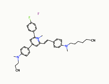 CN(CCC#N)c1ccc(-c2cc(/C=C/c3ccc(N(C)CCCCCC#N)cc3)[n+](C)c(-c3ccc(F)cc3)c2)cc1.[I-]